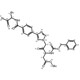 CC(C)C(NC(=O)c1ccc(-c2nnn(CC(=O)C(CC(=O)OC(C)(C)C)NC(=O)OCc3ccccc3)n2)cc1)C(N)=O